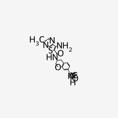 Cc1cnc2c(N)c(C(=O)N[C@H]3COc4cc(N5CC6CNCC5CO6)ccc4C3)sc2n1